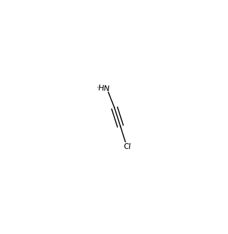 [NH]C#CCl